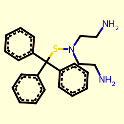 NCCN(CCN)SC(c1ccccc1)(c1ccccc1)c1ccccc1